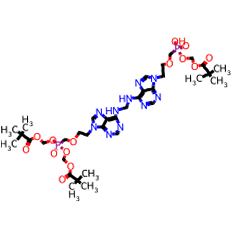 CC(C)(C)C(=O)OCOP(=O)(O)COCCn1cnc2c(NCNc3ncnc4c3ncn4CCOCP(=O)(OCOC(=O)C(C)(C)C)OCOC(=O)C(C)(C)C)ncnc21